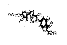 COc1ccc(-c2cnc(C(=O)Nc3ccc(C(=O)NC4CCNC4)c(Cl)c3)n2C)c(F)c1F